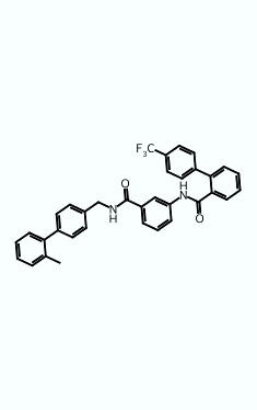 Cc1ccccc1-c1ccc(CNC(=O)c2cccc(NC(=O)c3ccccc3-c3ccc(C(F)(F)F)cc3)c2)cc1